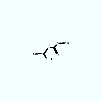 CCCC[C@H](C=O)NC(=O)OC(C)(C)C